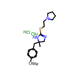 COc1ccc(CC2(C)CN=C(SCCN3CCCC3)N2)cc1.Cl.Cl